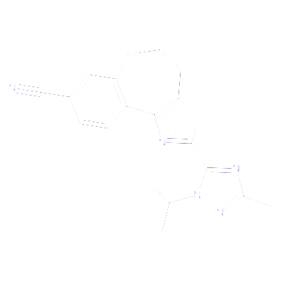 Cc1nc(-c2nc3c(s2)CCOc2cc(C#N)ccc2-3)n(C(C)C)n1